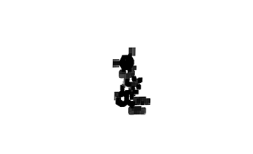 COC(OC)c1ccnc(C[C@H](B2OC3[C@@H]4C[C@H](C[C@]3(C)O2)C4(C)C)N([Si](C)(C)C)[Si](C)(C)C)c1